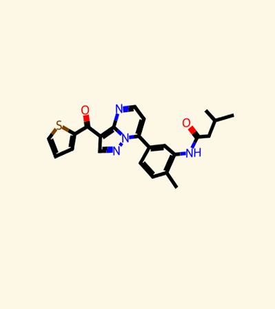 Cc1ccc(-c2ccnc3c(C(=O)c4cccs4)cnn23)cc1NC(=O)CC(C)C